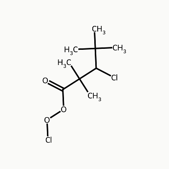 CC(C)(C)C(Cl)C(C)(C)C(=O)OOCl